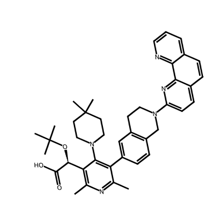 Cc1nc(C)c([C@H](OC(C)(C)C)C(=O)O)c(N2CCC(C)(C)CC2)c1-c1ccc2c(c1)CCN(c1ccc3ccc4cccnc4c3n1)C2